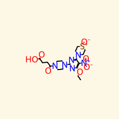 CCOc1nc(N2CCN(C(=O)CCC(=O)O)CC2)nc(N2CC[S+]([O-])CC2)c1[N+](=O)[O-]